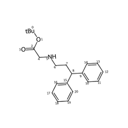 CC(C)(C)OC(=O)CNCCC(c1ccccc1)c1ccccc1